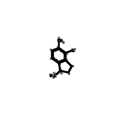 Cc1ccc2c(c1Cl)CCN2C